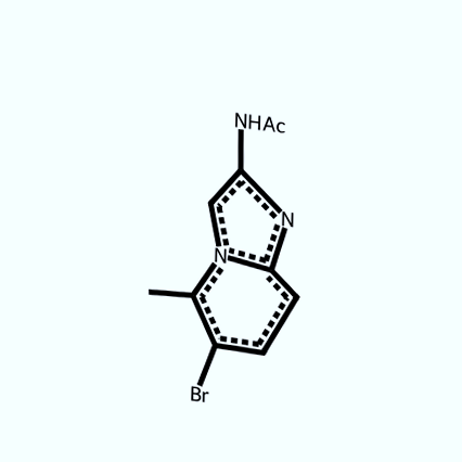 CC(=O)Nc1cn2c(C)c(Br)ccc2n1